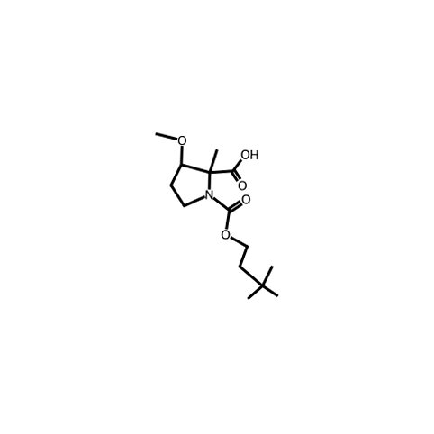 COC1CCN(C(=O)OCCC(C)(C)C)C1(C)C(=O)O